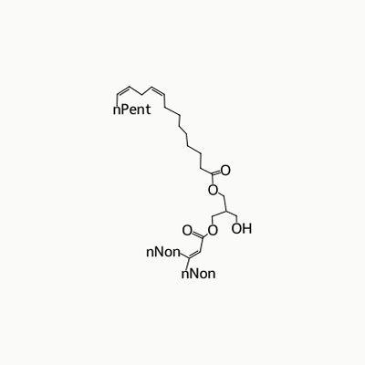 CCCCC/C=C\C/C=C\CCCCCCCC(=O)OCC(CO)COC(=O)C=C(CCCCCCCCC)CCCCCCCCC